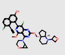 C#Cc1c(F)ccc2cc(O)cc(-c3nc(OC)c4c(N5CCOC6CC65)nc(OC[C@]56CCC[C@H]5N(C5COC5)CCC6)nc4c3F)c12